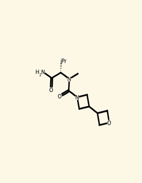 CC(C)[C@@H](C(N)=O)N(C)C(=O)N1CC(C2COC2)C1